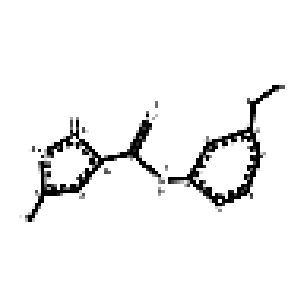 CCc1cccc(NC(=O)c2cc(C)n[nH]2)c1